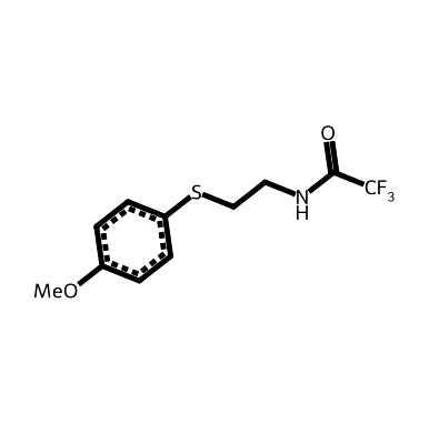 COc1ccc(SCCNC(=O)C(F)(F)F)cc1